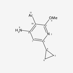 COc1nc(C2CC2)cc(N)c1C(C)=O